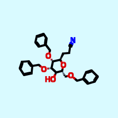 N#CCC[C@H]1O[C@H](COCc2ccccc2)[C@@H](O)[C@H](OCc2ccccc2)[C@@H]1OCc1ccccc1